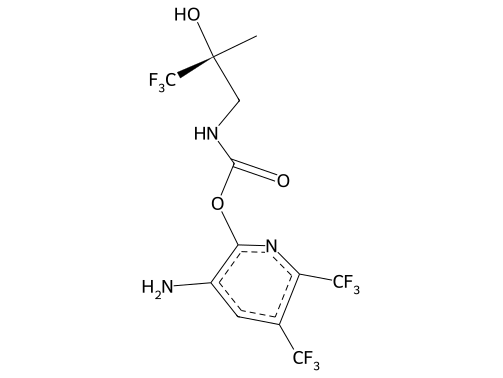 C[C@@](O)(CNC(=O)Oc1nc(C(F)(F)F)c(C(F)(F)F)cc1N)C(F)(F)F